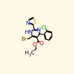 CCOC(=O)C1=C(CBr)NC(c2nccs2)=N[C@H]1c1ccccc1Cl